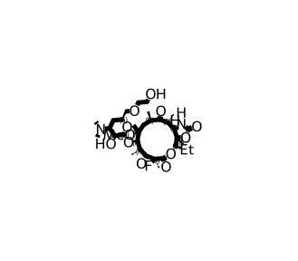 CC[C@H]1OC(=O)[C@@](C)(F)C(=O)[C@H](C)[C@@H](O[C@@H]2O[C@H](COCCO)CC(N(C)C)C2O)[C@](C)(OC)C[C@@H](C)C(=O)[C@H](C)[C@H]2NC(=O)O[C@@]21C